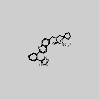 CCCCC(=O)N(Cc1ccc2nc(-c3ccccc3-c3nnn[nH]3)ccc2c1)CC1(OC(=O)O)CCCC1